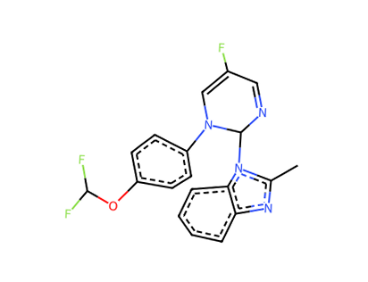 Cc1nc2ccccc2n1C1N=CC(F)=CN1c1ccc(OC(F)F)cc1